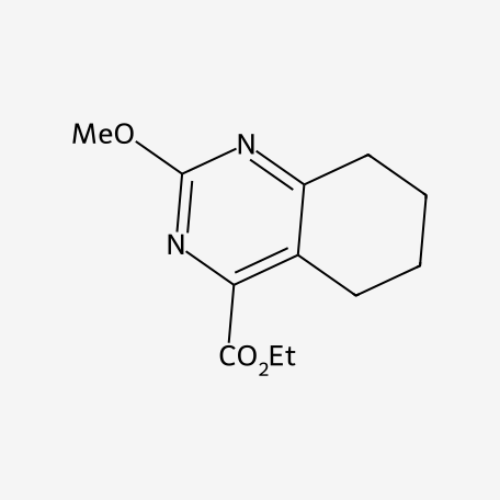 CCOC(=O)c1nc(OC)nc2c1CCCC2